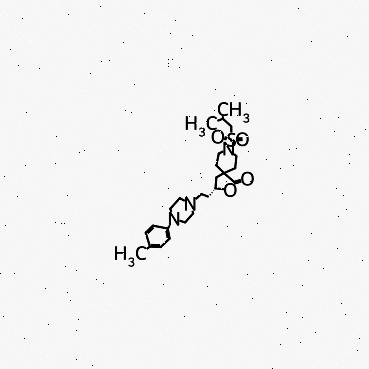 Cc1ccc(N2CCN(CC[C@@H]3CC4(CCN(S(=O)(=O)CC(C)C)CC4)C(=O)O3)CC2)cc1